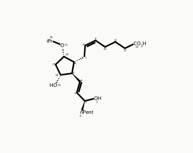 CCCCC[C@H](O)/C=C/[C@@H]1[C@@H](C/C=C\CCCC(=O)O)[C@@H](OC(C)C)C[C@H]1O